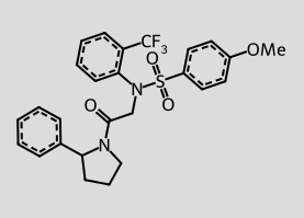 COc1ccc(S(=O)(=O)N(CC(=O)N2CCCC2c2ccccc2)c2ccccc2C(F)(F)F)cc1